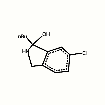 CCCCC1(O)NCc2ccc(Cl)cc21